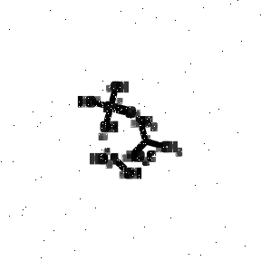 CC(N)C(=O)O.O=S(=O)(O)O.O=[As](O)(O)O